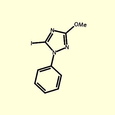 COc1nc(I)n(-c2ccccc2)n1